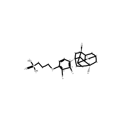 O=P(O)(O)CCCOc1ccc([C@]23CC4C5CC6CC(C(C2)[C@@H]4C6)[C@@H]5C3)c(F)c1F